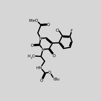 COC(=O)Cn1cc(-c2cccc(F)c2Cl)c(=O)n(C(C)CNC(=O)OC(C)(C)C)c1=O